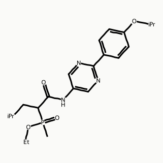 CCOP(C)(=O)C(CC(C)C)C(=O)Nc1cnc(-c2ccc(OC(C)C)cc2)nc1